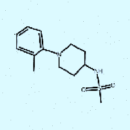 Cc1c[c]ccc1N1CCC(NS(C)(=O)=O)CC1